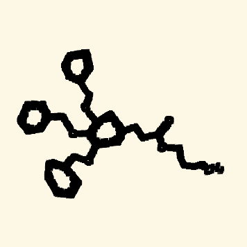 CCCCOC(=O)CCc1cc(OCc2ccccc2)c(OCc2ccccc2)c(OCc2ccccc2)c1